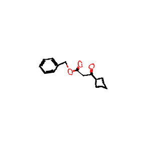 O=C(CC(=O)C1CCC1)OCc1ccccc1